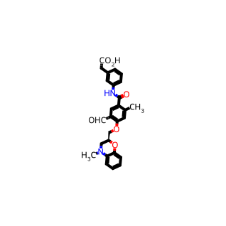 Cc1cc(OC[C@@H]2CN(C)c3ccccc3O2)c(C=O)cc1C(=O)Nc1cccc(CC(=O)O)c1